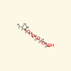 CCCC/C(=C/OCCOCCOCCOCCO)CC